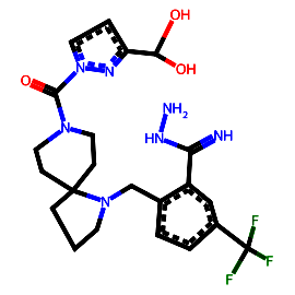 N=C(NN)c1cc(C(F)(F)F)ccc1CN1CCCC12CCN(C(=O)n1ccc(C(O)O)n1)CC2